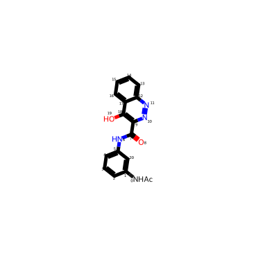 CC(=O)Nc1cccc(NC(=O)c2nnc3ccccc3c2O)c1